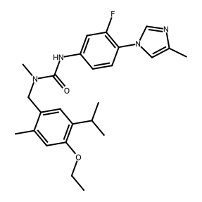 CCOc1cc(C)c(CN(C)C(=O)Nc2ccc(-n3cnc(C)c3)c(F)c2)cc1C(C)C